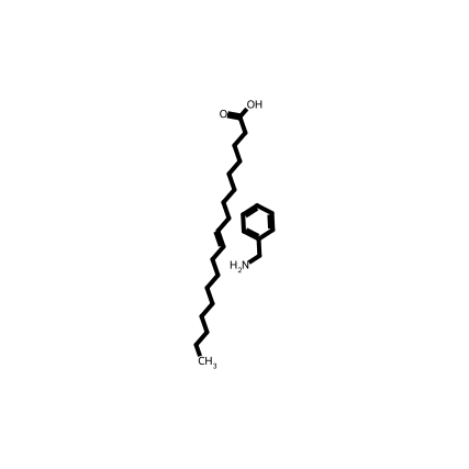 CCCCCCCCC=CCCCCCCCC(=O)O.NCc1ccccc1